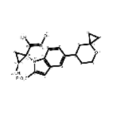 CCOC(=O)c1cc2cc(C3CCOC4(CC4)C3)ccc2n1[C@@]1(C(N)=NO)C[C@@H]1C